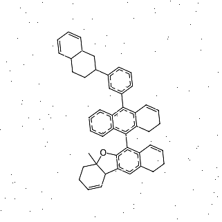 CC12CCC=CC1c1cc3c(c(-c4c5c(c(-c6cccc(C7CCC8C=CC=CC8C7)c6)c6ccccc46)C=CCC5)c1O2)C=CCC3